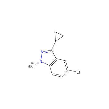 CCc1ccc2c(c1)c(C1CC1)nn2[C@@H](C)CC